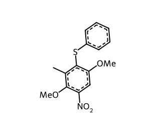 COc1cc([N+](=O)[O-])c(OC)c(C)c1Sc1ccccc1